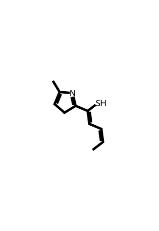 C/C=C\C=C(/S)C1=NC(C)=CC1